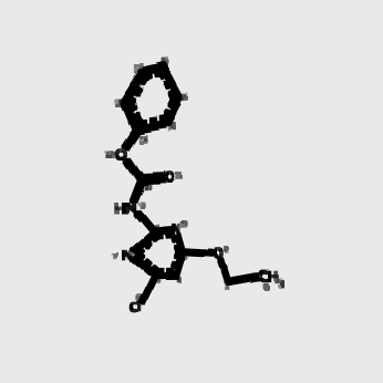 CCOc1cc(Cl)nc(NC(=O)Oc2ccccc2)n1